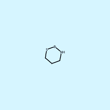 [B]1NC[CH]CS1